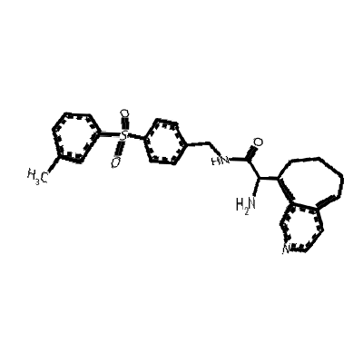 Cc1cccc(S(=O)(=O)c2ccc(CNC(=O)C(N)C3=c4cnccc4=CCCC3)cc2)c1